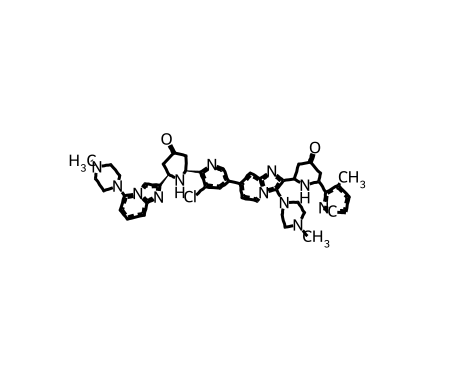 Cc1cccnc1C1CC(=O)CC(c2nc3cc(-c4cnc([C@@H]5CC(=O)C[C@H](c6cn7c(N8CCN(C)CC8)cccc7n6)N5)c(Cl)c4)ccn3c2N2CCN(C)CC2)N1